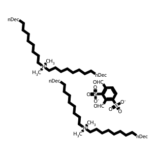 CCCCCCCCCCCCCCCCCC[N+](C)(C)CCCCCCCCCCCCCCCCCC.CCCCCCCCCCCCCCCCCC[N+](C)(C)CCCCCCCCCCCCCCCCCC.O=Cc1ccc(S(=O)(=O)[O-])c(C=O)c1S(=O)(=O)[O-]